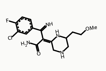 COCCC1CNC/C(=C(/C(=N)c2ccc(F)c(Cl)c2)C(N)=O)N1